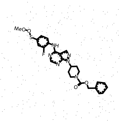 COOSc1ccc(Nc2ncnc3c2cnn3C2CCN(C(=O)OCc3ccccc3)CC2)c(F)c1